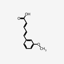 COc1cccc(/C=C/C=C/C(=O)O)c1